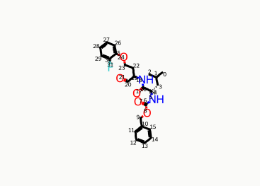 CC(C)C[C@H](NC(=O)OCc1ccccc1)C(=O)NC(C=O)CCOc1ccccc1F